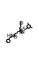 COCCCn1c(CCCC(=O)NCCC2=CC=CCC2)nnc1SCC1=CC(C)=CC(C)C1